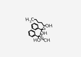 C#N.CCCCCO.OC(=S)c1ccccc1.OC(=S)c1ccccc1